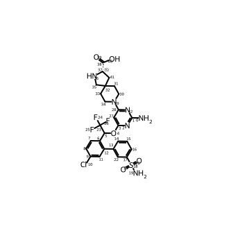 Nc1nc(OC(c2ccc(Cl)cc2-c2cccc(S(N)(=O)=O)c2)C(F)(F)F)cc(N2CCC3(CC2)CN[C@H](C(=O)O)C3)n1